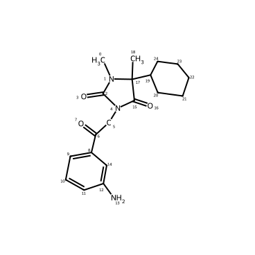 CN1C(=O)N(CC(=O)c2cccc(N)c2)C(=O)C1(C)C1CCCCC1